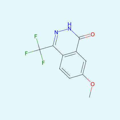 COc1ccc2c(C(F)(F)F)n[nH]c(=O)c2c1